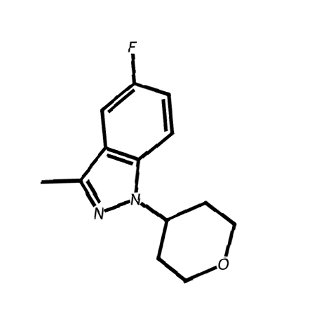 Cc1nn(C2CCOCC2)c2ccc(F)cc12